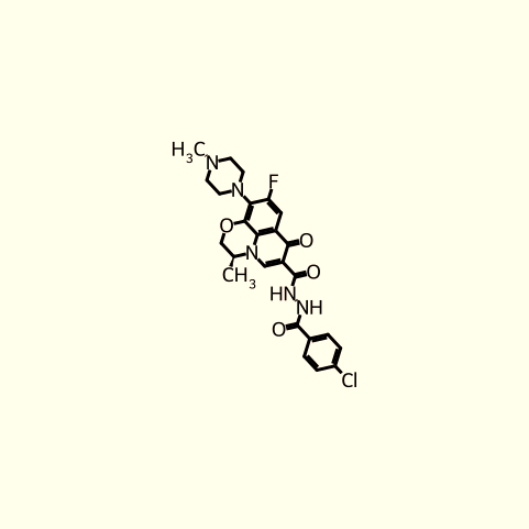 C[C@H]1COc2c(N3CCN(C)CC3)c(F)cc3c(=O)c(C(=O)NNC(=O)c4ccc(Cl)cc4)cn1c23